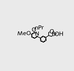 CCCOc1nc(-c2cccc(C3COB(O)C3)c2)ccc1OC